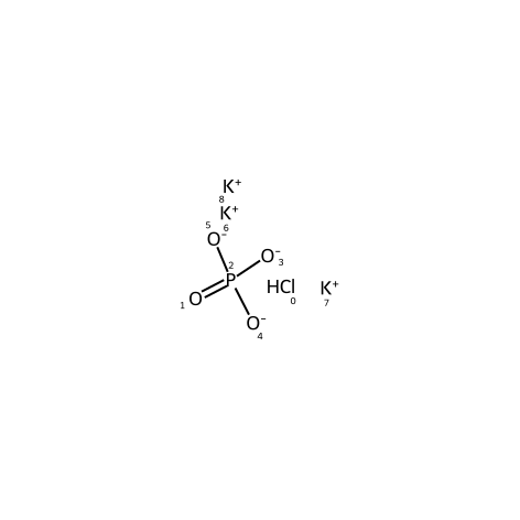 Cl.O=P([O-])([O-])[O-].[K+].[K+].[K+]